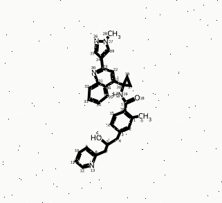 Cc1cc(CC(O)Cc2ccccn2)ccc1C(=O)NC1(c2cc(-c3cnn(C)c3)nc3ccccc23)CC1